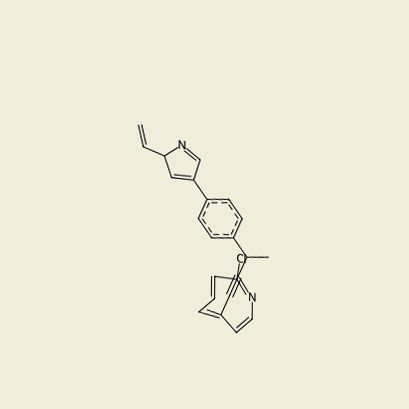 C=CC1C=C(c2ccc(C(C)C#CC3=C\C=C\C(Cl)=N/C=C\3)cc2)C=N1